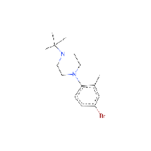 Cc1cc(Br)ccc1N1CCN(C(C)(C)C)CC1